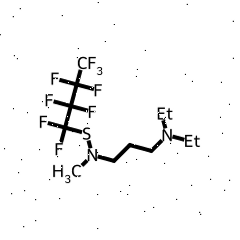 CCN(CC)CCCN(C)SC(F)(F)C(F)(F)C(F)(F)C(F)(F)F